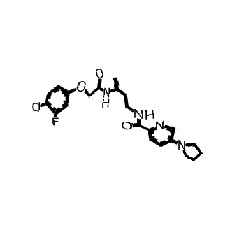 C=C(CCNC(=O)c1ccc(N2CCCC2)cn1)NC(=O)COc1ccc(Cl)c(F)c1